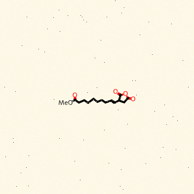 COC(=O)CCCCCCC/C=C/C1CC(=O)OC1=O